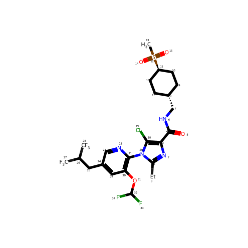 CCc1nc(C(=O)NC[C@H]2CC[C@H](S(C)(=O)=O)CC2)c(Cl)n1-c1ncc(CC(C(F)(F)F)C(F)(F)F)cc1OC(F)F